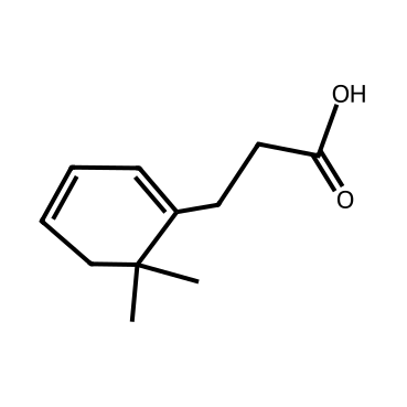 CC1(C)CC=CC=C1CCC(=O)O